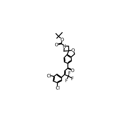 CC(C)(C)OC(=O)N1CC2(C1)OCc1cc(C(=O)/C=C(/c3cc(Cl)cc(Cl)c3)C(F)(F)F)ccc12